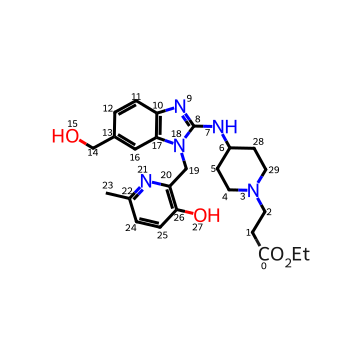 CCOC(=O)CCN1CCC(Nc2nc3ccc(CO)cc3n2Cc2nc(C)ccc2O)CC1